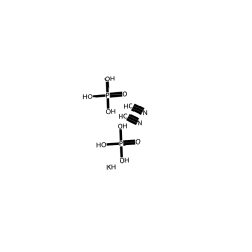 C#N.C#N.O=P(O)(O)O.O=P(O)(O)O.[KH]